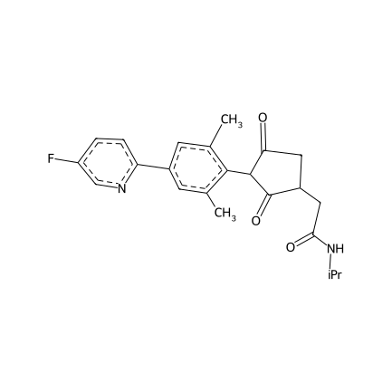 Cc1cc(-c2ccc(F)cn2)cc(C)c1C1C(=O)CC(CC(=O)NC(C)C)C1=O